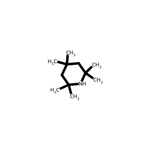 CC1(C)CC(C)(C)NC(C)(C)C1